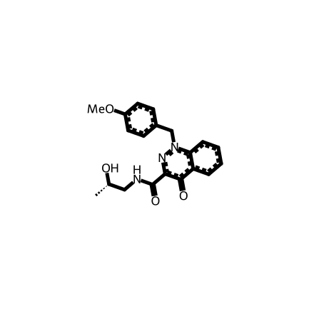 COc1ccc(Cn2nc(C(=O)NC[C@H](C)O)c(=O)c3ccccc32)cc1